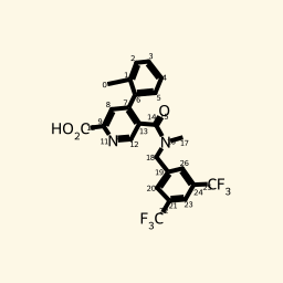 Cc1ccccc1-c1cc(C(=O)O)ncc1C(=O)N(C)Cc1cc(C(F)(F)F)cc(C(F)(F)F)c1